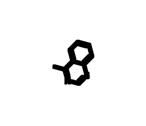 Cc1ncbc2ccccc12